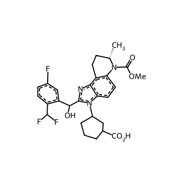 COC(=O)N1c2ccc3c(nc(C(O)c4cc(F)ccc4C(F)F)n3C3CCCC(C(=O)O)C3)c2CC[C@@H]1C